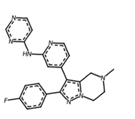 CN1CCn2nc(-c3ccc(F)cc3)c(-c3ccnc(Nc4ccncn4)c3)c2C1